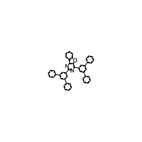 c1ccc(-c2cc(-c3ccccc3)cc(-c3nc(-c4cc(-c5ccccc5)cc(-c5ccccc5)c4)c4oc5ccccc5c4n3)c2)cc1